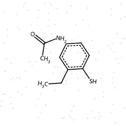 CC(N)=O.CCc1ccccc1S